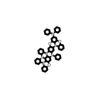 c1ccc(N(c2ccccc2)c2cc3c4c(c2)Oc2cc5c(cc2B4c2ccccc2O3)N(c2ccccc2)c2cc3c4c6c2B5c2ccccc2N6c2ccccc2B4c2ccccc2O3)cc1